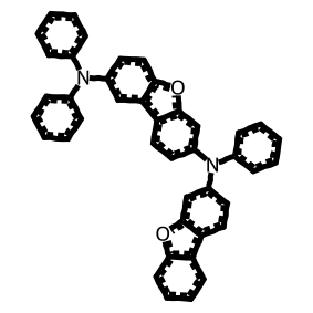 c1ccc(N(c2ccc3c(c2)oc2ccccc23)c2ccc3c(c2)oc2ccc(N(c4ccccc4)c4ccccc4)cc23)cc1